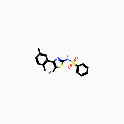 CCCc1sc(NS(=O)(=O)c2ccccc2)nc1-c1cc(C)ccc1C